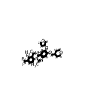 Cc1nc(N[C@H](C)c2cccc(C(F)F)c2F)c2cc(O[C@H]3CCOC3)c(OCC3CCOCC3)cc2n1